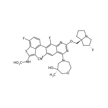 C[C@@]1(O)COCCN(c2nc(OC[C@@]34CCCN3C[C@H](F)C4)nc3c(F)c(-c4ccc(F)c5sc(NC(=O)O)c(C#N)c45)c(F)cc23)C1